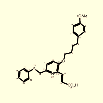 COc1ccc(CCCCOc2ccc(CSc3ccccc3)nc2C=CC(=O)O)cc1